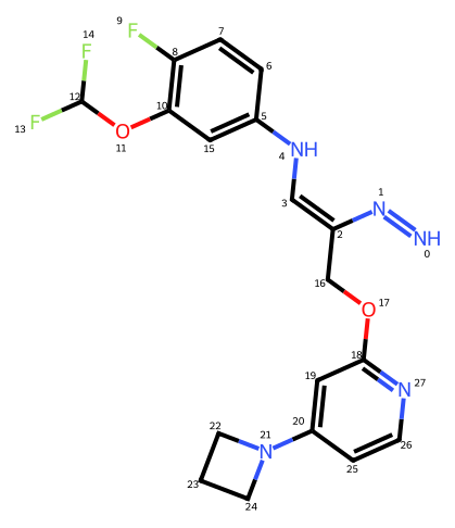 N=N/C(=C\Nc1ccc(F)c(OC(F)F)c1)COc1cc(N2CCC2)ccn1